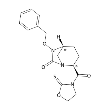 O=C([C@@H]1CC[C@@H]2CN1C(=O)N2OCc1ccccc1)N1CCOC1=S